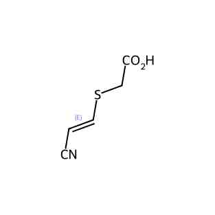 N#C/C=C/SCC(=O)O